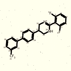 Fc1cccc(F)c1C1=NCC(c2ccc(-c3cccc(C(F)(F)F)c3)cc2)CN1